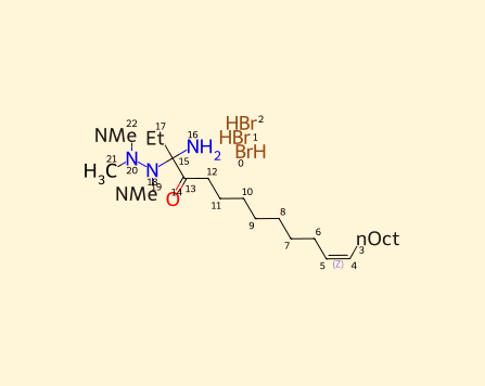 Br.Br.Br.CCCCCCCC/C=C\CCCCCCCC(=O)C(N)(CC)N(NC)N(C)NC